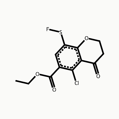 CCOC(=O)c1cc(SF)c2c(c1Cl)C(=O)CCO2